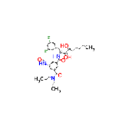 CCCCC[C@@H](O)[C@H](O)[C@H](Cc1cc(F)cc(F)c1)NC(=O)c1cc(NC=O)cc(C(=O)N(CCC)CCC)c1